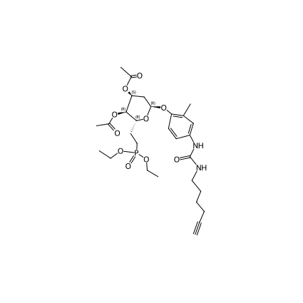 C#CCCCCNC(=O)Nc1ccc(O[C@@H]2C[C@H](OC(C)=O)[C@H](OC(C)=O)[C@@H](CCP(=O)(OCC)OCC)O2)c(C)c1